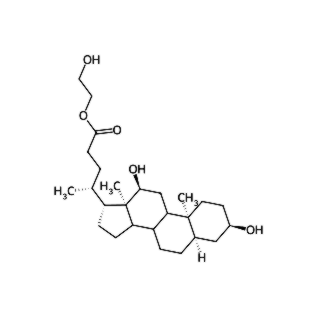 C[C@H](CCC(=O)OCCO)[C@H]1CCC2C3CC[C@@H]4C[C@H](O)CC[C@]4(C)C3C[C@H](O)[C@@]21C